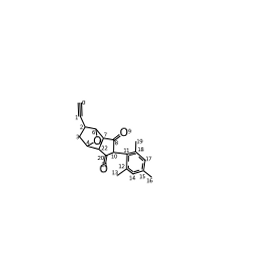 C#CC1CC2OC1C1C(=O)C(c3c(C)cc(C)cc3C)C(=O)C21